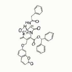 C=C1C(COc2ccc3ccc(=O)oc3c2)=C(C(=O)OC(c2ccccc2)c2ccccc2)N2C(=O)[C@@H](NC(=O)Cc3ccccc3)[C@H]2[S@@+]1[O-]